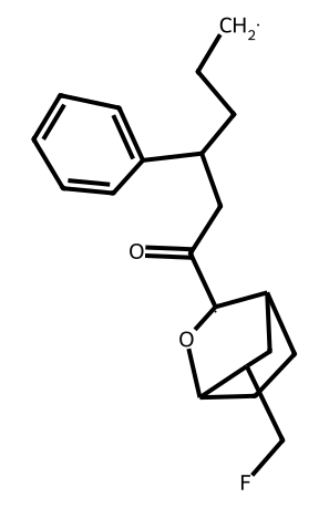 [CH2]CCC(CC(=O)[C]1OC2CCC1CC2CF)c1ccccc1